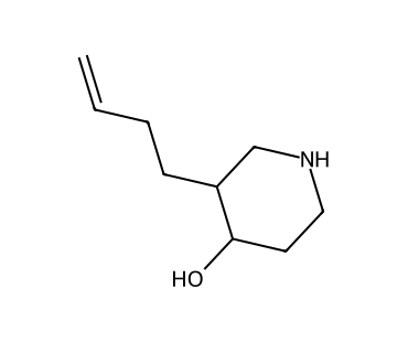 C=CCCC1CNCCC1O